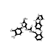 CC(C)(C)c1cc(NC(=O)NCc2ccccc2Oc2ccc3sc4nccn4c3c2)n(-c2ccc(O)c(Cl)c2)n1